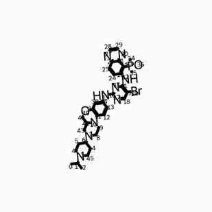 CC(C)N1CCC(N2CCN3c4ccc(Nc5ncc(Br)c(Nc6ccc7nccnc7c6P(C)(C)=O)n5)cc4OCC3C2)CC1